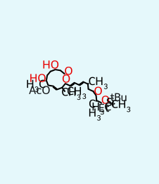 CCC(O[Si](C)(C)C(C)(C)C)C(C)C1OC1CC(C)/C=C/C=C(\C)C1OC(=O)CC(O)CCC(C)(O)C(OC(C)=O)/C=C/C1C